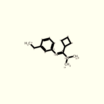 CCc1cccc(/N=C(\C2CCC2)N(C)C)c1